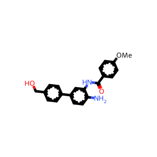 COc1ccc(C(=O)Nc2cc(-c3ccc(CO)cc3)ccc2N)cc1